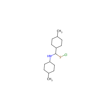 CC1CCC(NC(SCl)C2CCC(C)CC2)CC1